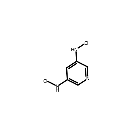 ClNc1cncc(NCl)c1